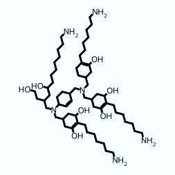 NCCCCCCCCC(O)CC(CCO)CN(CC1CC(O)=C(CCCCCCCN)C(O)C1)C1C=CC(CN(CC2CCC(CCCCCCCN)=C(O)C2)CC2CC(O)=C(CCCCCCCN)C(O)C2)CC1